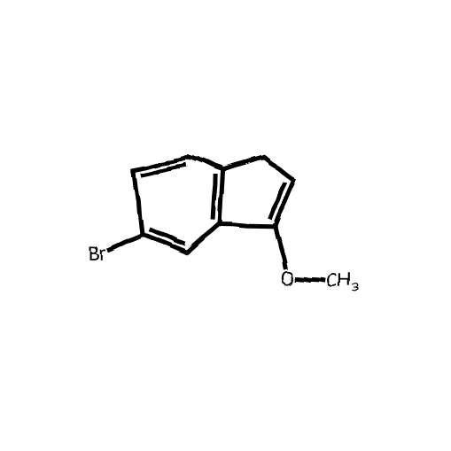 COC1=CCc2ccc(Br)cc21